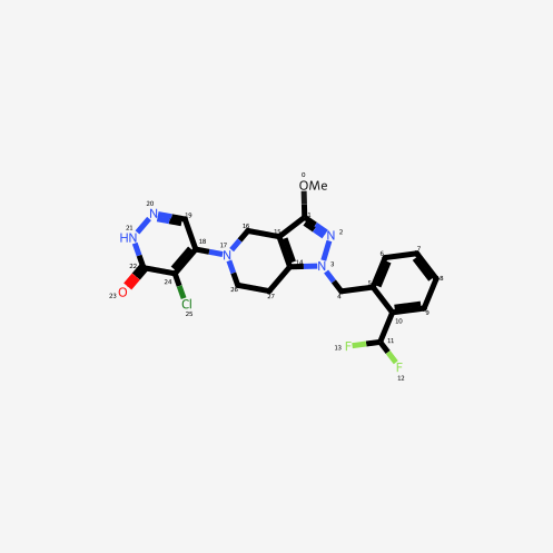 COc1nn(Cc2ccccc2C(F)F)c2c1CN(c1cn[nH]c(=O)c1Cl)CC2